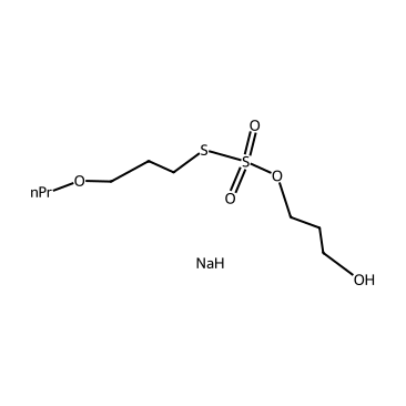 CCCOCCCSS(=O)(=O)OCCCO.[NaH]